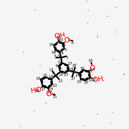 COc1cc(C(C)(C)c2cc(C(C)(C)c3ccc(O)c(OC)c3)cc(C(C)(C)c3ccc(O)c(OC)c3)c2)ccc1O